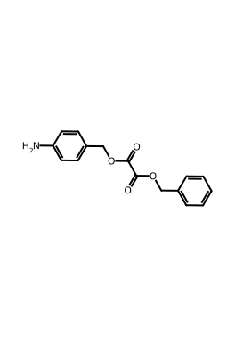 Nc1ccc(COC(=O)C(=O)OCc2ccccc2)cc1